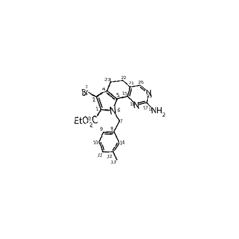 CCOC(=O)c1c(Br)c2c(n1Cc1cccc(C)c1)-c1nc(N)ncc1CC2